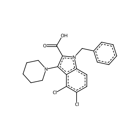 O=C(O)c1c(N2CCCCC2)c2c(Cl)c(Cl)ccc2n1Cc1ccccc1